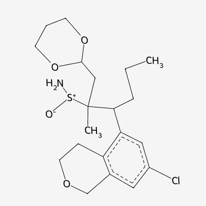 CCCC(c1cc(Cl)cc2c1CCOC2)C(C)(CC1OCCCO1)[S+](N)[O-]